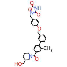 Cc1cc(C(=O)N2CCCC(CO)C2)ccc1-c1cccc(COc2ccc(Cn3oc(=O)[nH]c3=O)cc2)c1